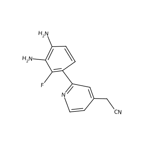 N#CCc1ccnc(-c2ccc(N)c(N)c2F)c1